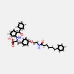 O=C(CCCCCc1ccccc1)NCCOc1ccc(C[C@H](Nc2ccccc2C(=O)c2ccccc2)C(=O)O)cc1